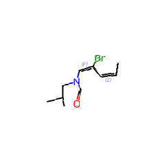 C/C=C\C(Br)=C/N(C=O)CC(C)C